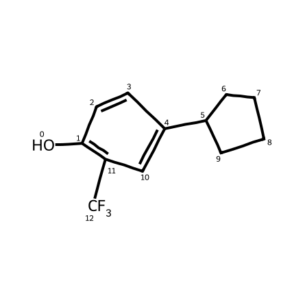 Oc1ccc(C2CCCC2)cc1C(F)(F)F